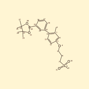 Cc1cc(OCCCS(C)(=O)=O)ccc1-c1cccc(B2OC(C)(C)C(C)(C)O2)c1